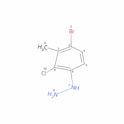 Cc1c(Br)ccc(NN)c1Cl